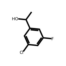 C[C](O)c1cc(F)cc(Cl)c1